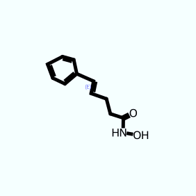 O=C(CC/C=C/c1ccccc1)NO